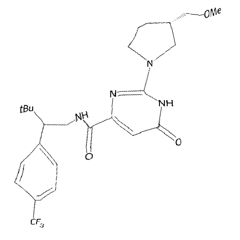 COC[C@H]1CCN(c2nc(C(=O)NC(c3ccc(C(F)(F)F)cc3)C(C)(C)C)cc(=O)[nH]2)C1